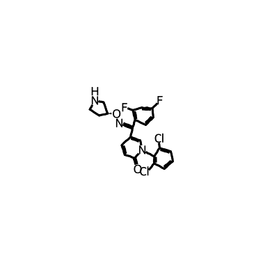 O=c1ccc(C(=NO[C@@H]2CCNC2)c2ccc(F)cc2F)cn1-c1c(Cl)cccc1Cl